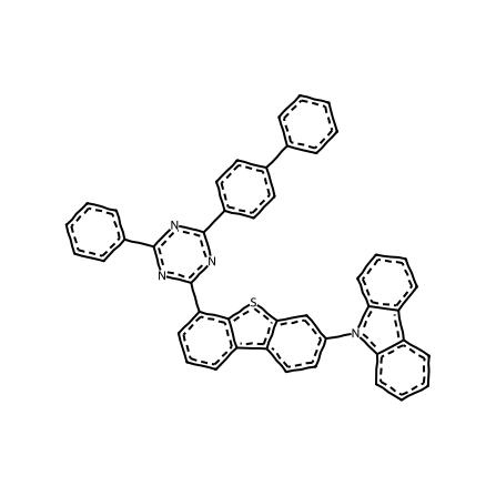 c1ccc(-c2ccc(-c3nc(-c4ccccc4)nc(-c4cccc5c4sc4cc(-n6c7ccccc7c7ccccc76)ccc45)n3)cc2)cc1